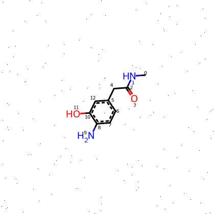 CNC(=O)Cc1ccc(N)c(O)c1